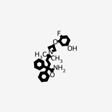 CC(C)(CCC(C(N)=O)(c1ccccc1)c1ccccc1)N1CC(OC2CC(O)=CC=C2F)C1